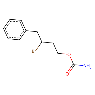 NC(=O)OCCC(Br)Cc1ccccc1